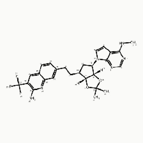 CNc1ncnc2c1ccn2[C@@H]1C[C@H](CCc2ccc3cc(C(F)(F)F)c(N)nc3c2)[C@H]2OC(C)(C)O[C@H]21